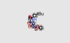 CC(C)CC(NC(=O)c1ccc(C(C)(C)C)cc1)C(=O)N1CCC2C1C(=O)CN2C(=O)Oc1ccccc1